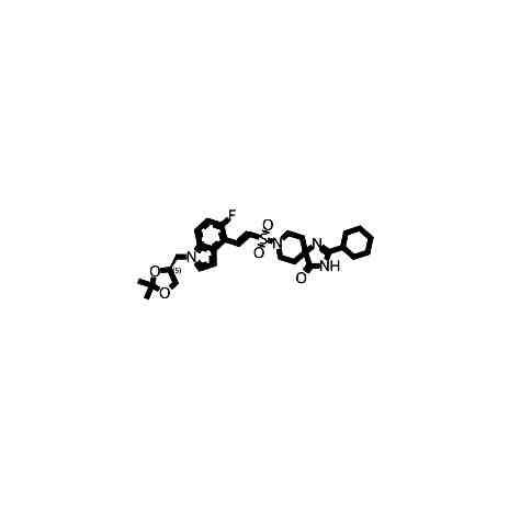 CC1(C)OC[C@H](Cn2ccc3c(C=CS(=O)(=O)N4CCC5(CC4)N=C(C4CCCCC4)NC5=O)c(F)ccc32)O1